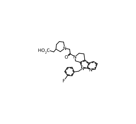 O=C(O)CC1CCCN(CC(=O)N2CCc3c(n(Cc4cccc(F)c4)c4ncccc34)C2)C1